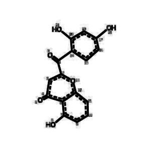 O=C(c1cc(=O)c2c(O)cccc2o1)c1ccc(O)cc1O